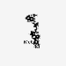 COC(=O)c1c(C)c2c(-c3c(C)c(C)nn3CCCc3cc(CSc4cc(O)c5ccccc5c4)n(C)n3)c(Cl)ccc2n1CCCO